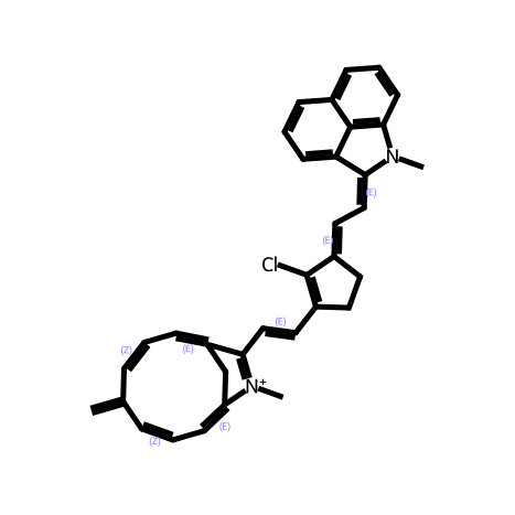 C=C1/C=C\C=C2/C/C(=C\C=C/1)[N+](C)=C2/C=C/C1=C(Cl)C(=C/C=c2\c3cccc4cccc(c43)n2C)/CC1